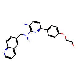 Nc1ccc(-c2ccc(OCCO)cc2)nc1N(N)Cc1ccc2ncccc2c1